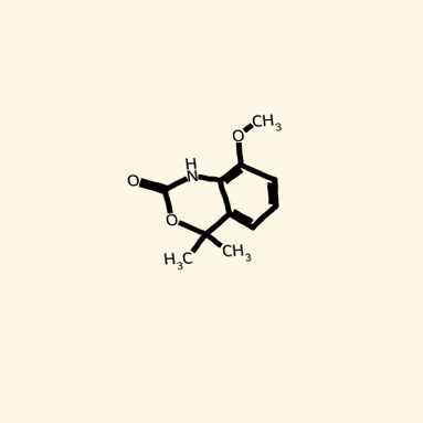 COc1cccc2c1NC(=O)OC2(C)C